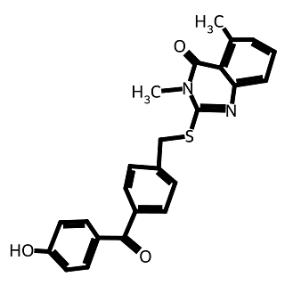 Cc1cccc2nc(SCc3ccc(C(=O)c4ccc(O)cc4)cc3)n(C)c(=O)c12